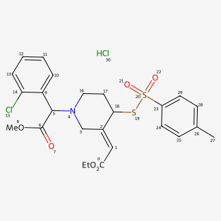 CCOC(=O)/C=C1\CN(C(C(=O)OC)c2ccccc2Cl)CCC1SS(=O)(=O)c1ccc(C)cc1.Cl